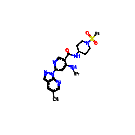 CCS(=O)(=O)N1CCC(NC(=O)c2cnc(-n3ncc4cc(C#N)cnc43)cc2NC(C)C)CC1